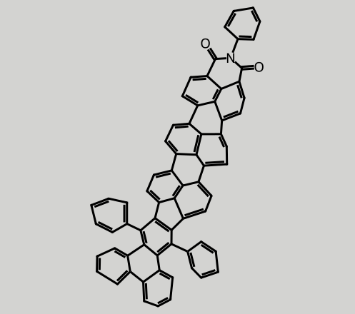 O=C1c2ccc3c4ccc5c6ccc7c8c(ccc(c9ccc(c%10ccc(c2c3%10)C(=O)N1c1ccccc1)c4c59)c86)-c1c-7c(-c2ccccc2)c2c3ccccc3c3ccccc3c2c1-c1ccccc1